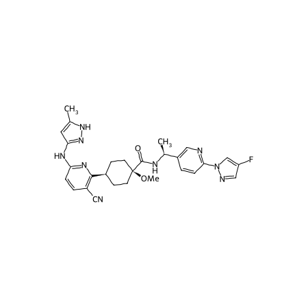 CO[C@]1(C(=O)N[C@@H](C)c2ccc(-n3cc(F)cn3)nc2)CC[C@H](c2nc(Nc3cc(C)[nH]n3)ccc2C#N)CC1